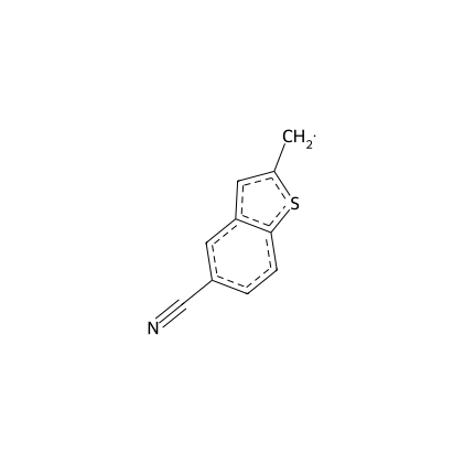 [CH2]c1cc2cc(C#N)ccc2s1